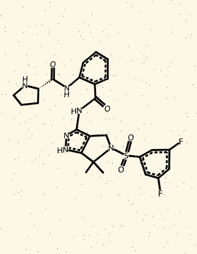 CC1(C)c2[nH]nc(NC(=O)c3ccccc3NC(=O)[C@@H]3CCCN3)c2CN1S(=O)(=O)c1cc(F)cc(F)c1